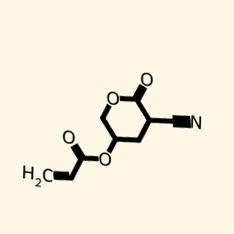 C=CC(=O)OC1COC(=O)C(C#N)C1